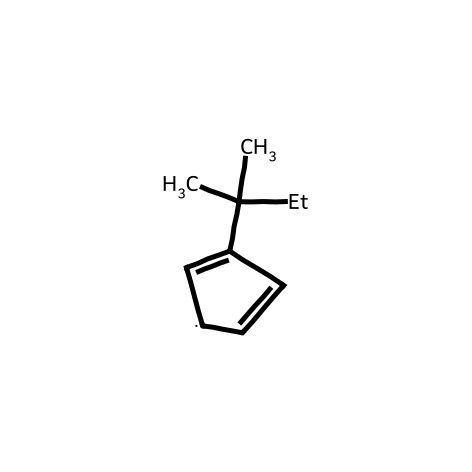 CCC(C)(C)C1=C[CH]C=C1